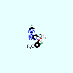 CC1Cc2c(nnn2-c2ncc(F)cn2)CN1C(=O)c1cc(C(F)(F)F)ccc1F